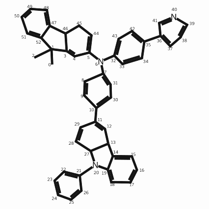 CC1(C)C2=CC(N(c3ccc(C4=CC5c6ccccc6N(c6ccccc6)C5C=C4)cc3)c3ccc(-c4cccnc4)cc3)=CCC2c2ccccc21